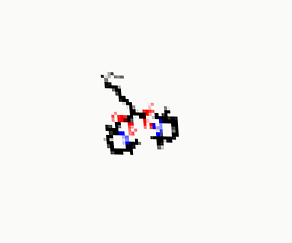 CCCCCCCCCCCCCCC(C(=O)ON1C(C)(C)CCCC1(C)C)C(=O)ON1C(C)(C)CCCC1(C)C